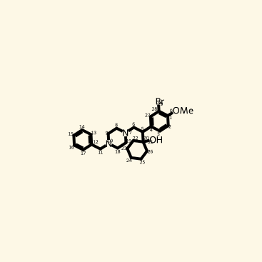 COc1ccc(C(CN2CCN(Cc3ccccc3)CC2)C2(O)CCCCC2)cc1Br